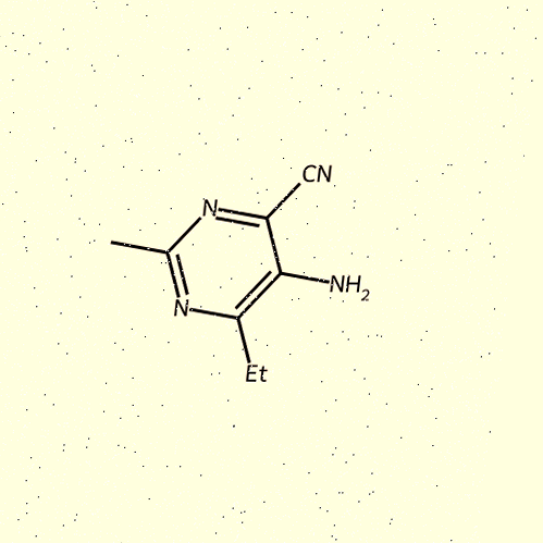 CCc1nc(C)nc(C#N)c1N